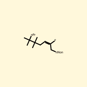 C[CH]CC(C)(C)C(C)(C)C/[C]=C(/F)CCCCCCCCCC